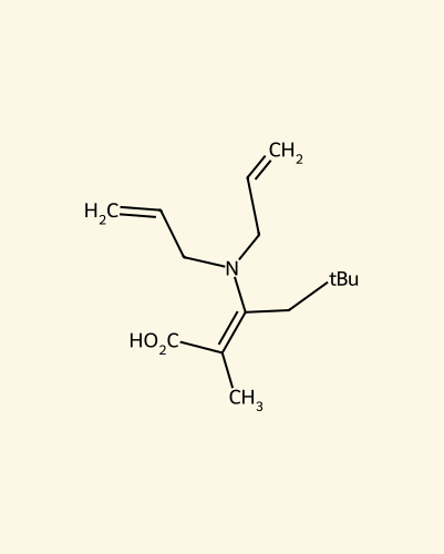 C=CCN(CC=C)C(CC(C)(C)C)=C(C)C(=O)O